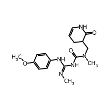 C/N=C(\NC(=O)N(C)CC1CC=CNC1=O)Nc1ccc(OC)cc1